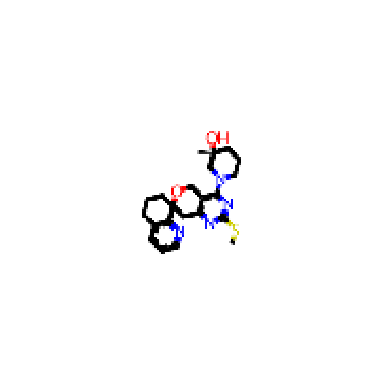 CSc1nc2c(c(N3CCC[C@@](C)(O)C3)n1)COC1(CCCc3cccnc31)C2